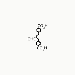 O=CC(CCc1ccc(C(=O)O)cc1)Cc1ccc(C(=O)O)cc1